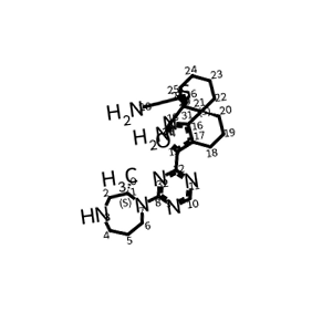 C[C@H]1CNCCCN1c1ncnc(-c2onc3c2CCC[C@@]32CCCc3sc(N)c(N)c32)n1